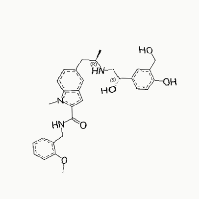 COc1ccccc1CNC(=O)c1cc2cc(C[C@@H](C)NC[C@@H](O)c3ccc(O)c(CO)c3)ccc2n1C